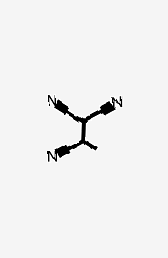 CC(C#N)C(C#N)C#N